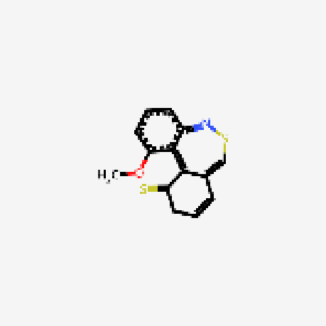 COc1cccc2c1=C1C(=S)CC=CC1=CSN=2